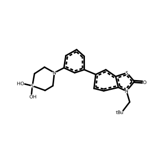 CC(C)(C)Cn1c(=O)sc2cc(-c3cccc(N4CCS(O)(O)CC4)c3)ccc21